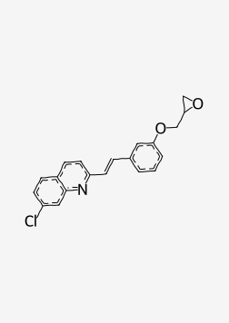 Clc1ccc2ccc(/C=C/c3cccc(OCC4CO4)c3)nc2c1